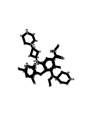 CCN(c1c(C)c(C(=O)NC)cc(O[C@H]2C[C@H](N3CCOCC3)C2)c1Cc1c(C)cc(C)[nH]c1=O)C1CCOCC1